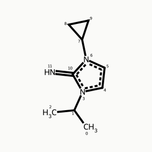 CC(C)n1ccn(C2CC2)c1=N